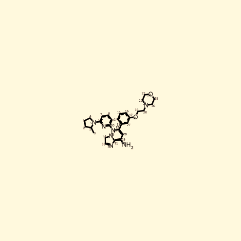 CC1CCCN1c1cccc(N2C(c3cccc(OCCN4CCOCC4)c3)=CC(N)=C3N=CCN32)n1